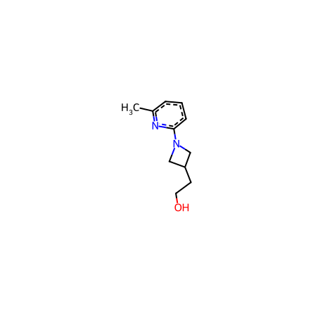 Cc1cccc(N2CC(CCO)C2)n1